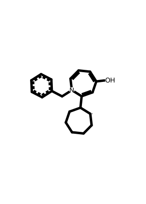 OC1=CC=CN(Cc2ccccc2)C(C2[CH]CCCCC2)=C1